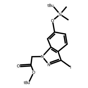 CC(C)(C)OC(=O)Cn1nc(I)c2ccc(O[Si](C)(C)C(C)(C)C)cc21